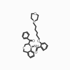 O=C(NN1c2ccccc2CCCC1C(=O)c1ccccc1)c1ccccc1OCCCCCCN1CCOCC1